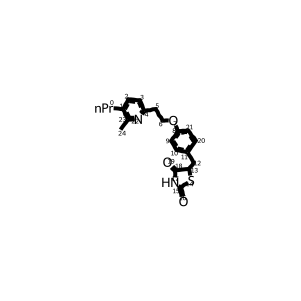 CCCc1ccc(CCOc2ccc(CC3SC(=O)NC3=O)cc2)nc1C